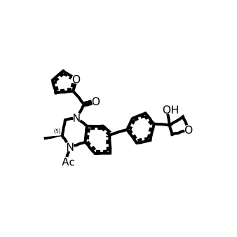 CC(=O)N1c2ccc(-c3ccc(C4(O)COC4)cc3)cc2N(C(=O)c2ccco2)C[C@@H]1C